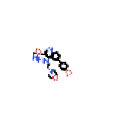 COc1ccc(-c2ccc3ncc(-c4nnco4)c(NCCN4CCOCC4)c3c2)cc1